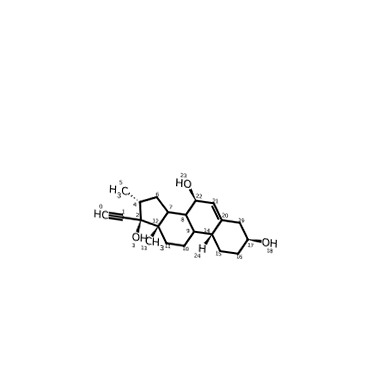 C#C[C@]1(O)[C@H](C)CC2C3C(CC[C@@]21C)[C@H]1CC[C@H](O)CC1=C[C@@H]3O